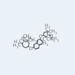 CON1C(C)(C)CCC(Oc2ccc3ccc(OC4CC(C)(C)N(OC)C4(C)C)cc3c2)CC1(C)C